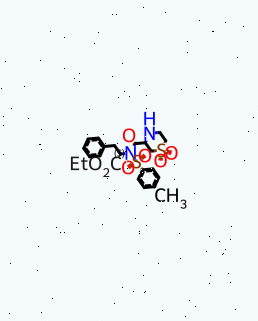 CCOC(=O)[C@H](Cc1ccccc1)N(C(=O)C1CS(=O)(=O)CCN1)S(=O)(=O)c1ccc(C)cc1